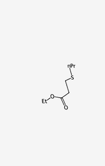 [CH2]CCSCCC(=O)OCC